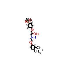 Cc1ccc(OCCNCC(O)COc2ccc(S(C)(=O)=O)cc2)cc1C